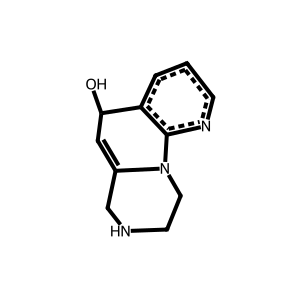 OC1C=C2CNCCN2c2ncccc21